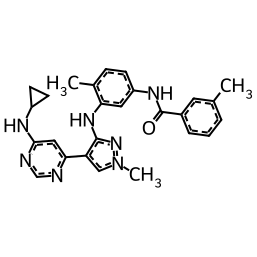 Cc1cccc(C(=O)Nc2ccc(C)c(Nc3nn(C)cc3-c3cc(NC4CC4)ncn3)c2)c1